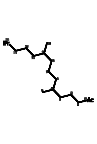 CC(=O)CCCC(C)CCCC(C)CCCC(C)C